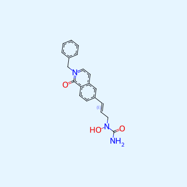 NC(=O)N(O)C/C=C/c1ccc2c(=O)n(Cc3ccccc3)ccc2c1